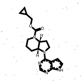 O=C(OCC1CC1)N1CCC[C@@H]2[C@H]1CCN2c1ncnc2[nH]ccc12